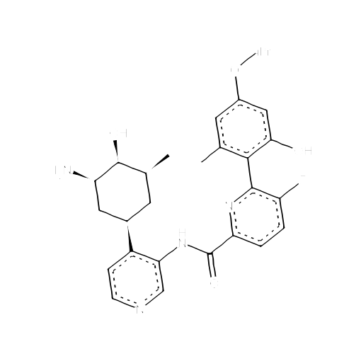 CC(C)Oc1cc(O)c(-c2nc(C(=O)Nc3cnccc3[C@H]3C[C@@H](N)[C@@H](O)[C@@H](C)C3)ccc2F)c(F)c1